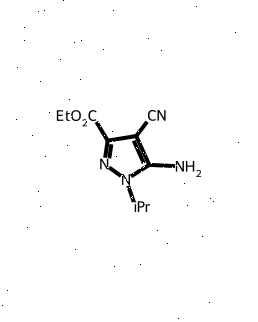 CCOC(=O)c1nn(C(C)C)c(N)c1C#N